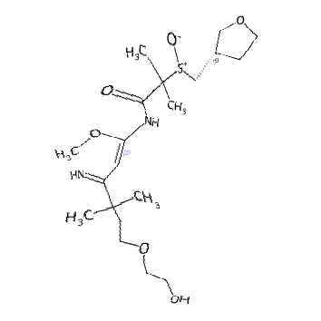 CO/C(=C\C(=N)C(C)(C)COCCO)NC(=O)C(C)(C)[S+]([O-])C[C@H]1CCOC1